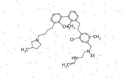 C=CNCCN(CC)Cc1cc(Cl)c(CCc2cccc(-c3cccc(CCCCN4CCC(C)C4)c3C)c2C)cc1C